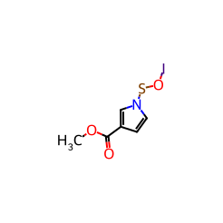 COC(=O)c1ccn(SOI)c1